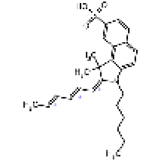 C/C=C/C=C/C=C1/N(CCCCCC)c2ccc3ccc(S(=O)(=O)O)cc3c2C1(C)C